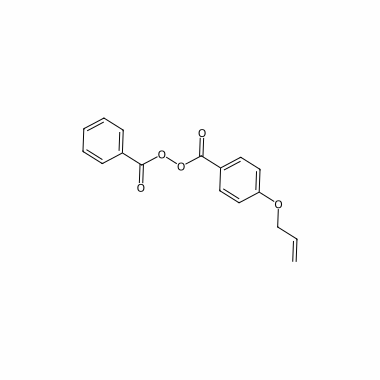 C=CCOc1ccc(C(=O)OOC(=O)c2ccccc2)cc1